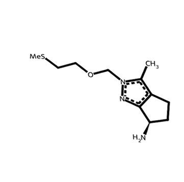 CSCCOCn1nc2c(c1C)CC[C@H]2N